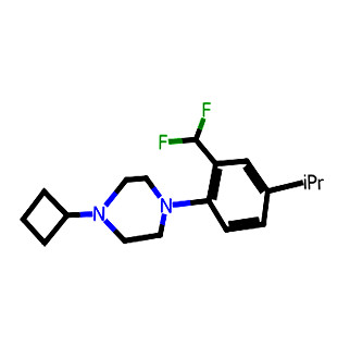 CC(C)c1ccc(N2CCN(C3CCC3)CC2)c(C(F)F)c1